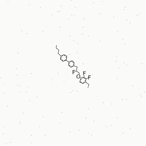 CCCCc1ccc(-c2ccc(CC(F)COc3ccc(CC)c(F)c3F)cc2)cc1